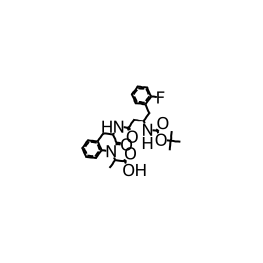 CC(C(=O)O)N1C(=O)C(NC(=O)C[C@@H](Cc2ccccc2F)NC(=O)OC(C)(C)C)Cc2ccccc21